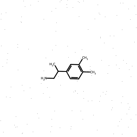 Cc1ccc(C(C)CN)cc1C